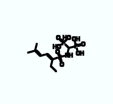 CC/C(=C\C=C(C)C)S(=O)(=O)NC(P(=O)(O)O)P(=O)(O)O